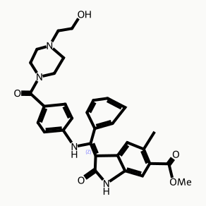 COC(=O)c1cc2c(cc1C)/C(=C(/Nc1ccc(C(=O)N3CCN(CCO)CC3)cc1)c1ccccc1)C(=O)N2